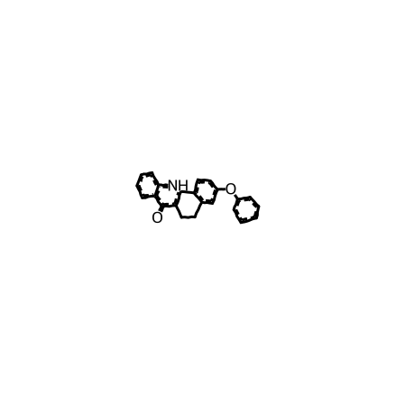 O=c1c2c([nH]c3ccccc13)-c1ccc(Oc3ccccc3)cc1CC2